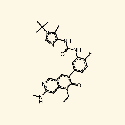 CCn1c(=O)c(-c2ccc(F)c(NC(=O)Nc3ncn(C(C)(C)C)c3C)c2)cc2cnc(NC)cc21